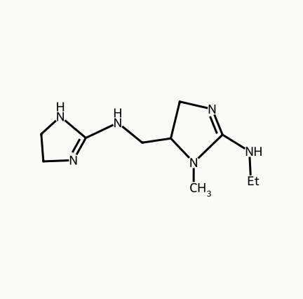 CCNC1=NCC(CNC2=NCCN2)N1C